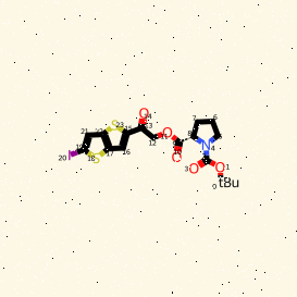 CC(C)(C)OC(=O)N1CCC[C@H]1C(=O)OCC(=O)c1cc2sc(I)cc2s1